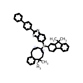 CC1(C)C/C=C(N(c2ccc3nc(-c4ccc(-c5ccccc5)cc4)sc3c2)C2C=C3C(=CC2)c2ccccc2C3(C)C)\C=C/Cc2ccccc21